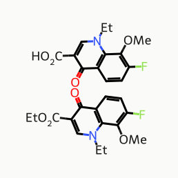 CCOC(=O)c1cn(CC)c2c(OC)c(F)ccc2c1=O.CCn1cc(C(=O)O)c(=O)c2ccc(F)c(OC)c21